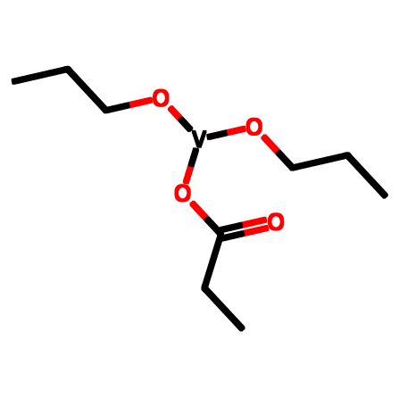 CCC[O][V]([O]CCC)[O]C(=O)CC